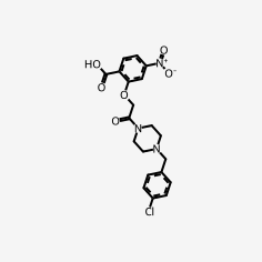 O=C(O)c1ccc([N+](=O)[O-])cc1OCC(=O)N1CCN(Cc2ccc(Cl)cc2)CC1